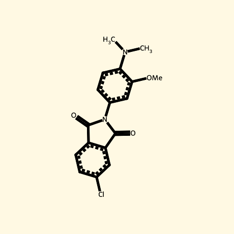 COc1cc(N2C(=O)c3ccc(Cl)cc3C2=O)ccc1N(C)C